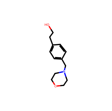 OCCc1ccc(CN2CCOCC2)cc1